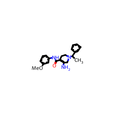 COc1cccc(NC(=O)C2=C(N)CN(C(C)c3ccccc3)CC2)c1